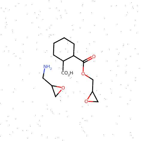 NCC1CO1.O=C(O)C1CCCCC1C(=O)OCC1CO1